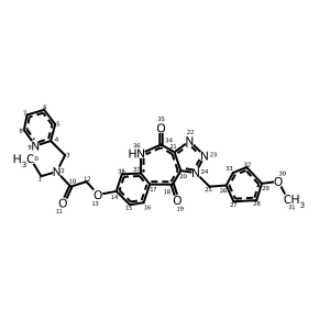 CCN(Cc1ccccn1)C(=O)COc1ccc2c(=O)c3c(nnn3Cc3ccc(OC)cc3)c(=O)[nH]c2c1